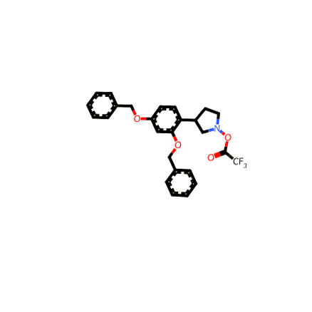 O=C(ON1CCC(c2ccc(OCc3ccccc3)cc2OCc2ccccc2)C1)C(F)(F)F